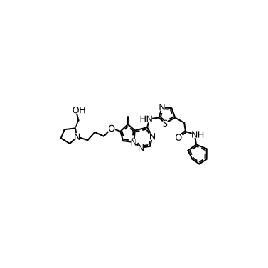 Cc1c(OCCCN2CCC[C@H]2CO)cn2ncnc(Nc3ncc(CC(=O)Nc4ccccc4)s3)c12